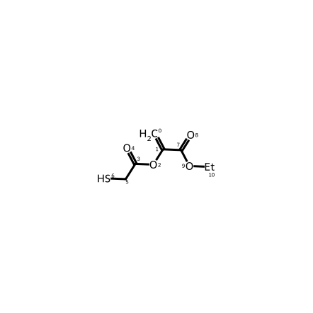 C=C(OC(=O)CS)C(=O)OCC